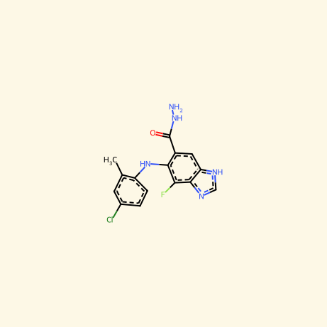 Cc1cc(Cl)ccc1Nc1c(C(=O)NN)cc2[nH]cnc2c1F